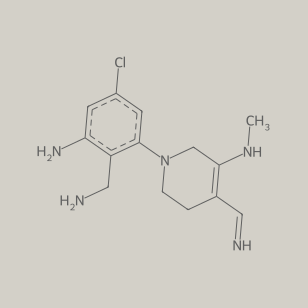 CNC1=C(C=N)CCN(c2cc(Cl)cc(N)c2CN)C1